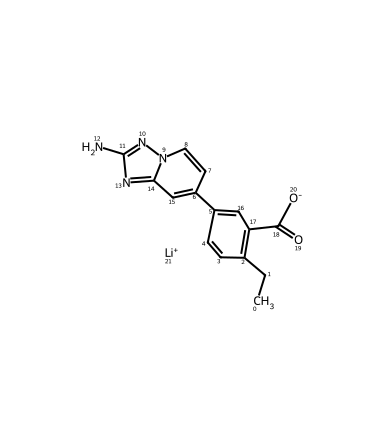 CCc1ccc(-c2ccn3nc(N)nc3c2)cc1C(=O)[O-].[Li+]